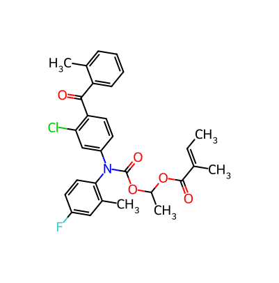 CC=C(C)C(=O)OC(C)OC(=O)N(c1ccc(C(=O)c2ccccc2C)c(Cl)c1)c1ccc(F)cc1C